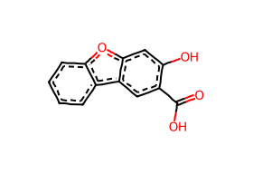 O=C(O)c1cc2c(cc1O)oc1ccccc12